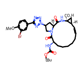 COc1ccc(-c2nnn(C3C[C@H]4C(=O)N[C@@]5(C(=O)O)C[C@H]5/C=C\CCCCC[C@@H](NC(=O)OC(C)(C)C)C(=O)N4C3)n2)cc1Br